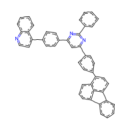 c1ccc(-c2nc(-c3ccc(-c4ccnc5ccccc45)cc3)cc(-c3ccc(-c4ccc5c6c(cccc46)-c4ccccc4-5)cc3)n2)cc1